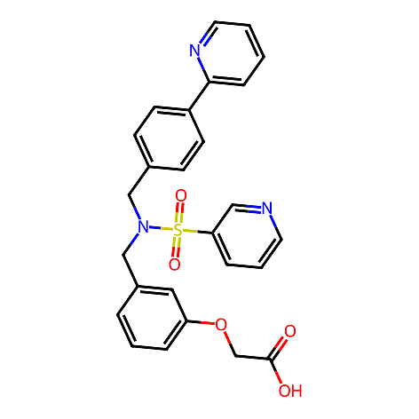 O=C(O)COc1cccc(CN(Cc2ccc(-c3ccccn3)cc2)S(=O)(=O)c2cccnc2)c1